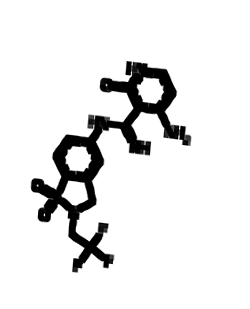 N=C(Nc1ccc2c(c1)CN(CC(F)(F)F)S2(=O)=O)c1c(N)cc[nH]c1=O